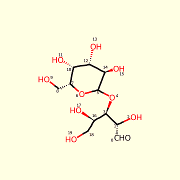 O=C[C@@H](O)[C@H](OC1O[C@H](CO)[C@H](O)[C@H](O)[C@H]1O)[C@H](O)CO